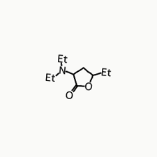 CCC1CC(N(CC)CC)C(=O)O1